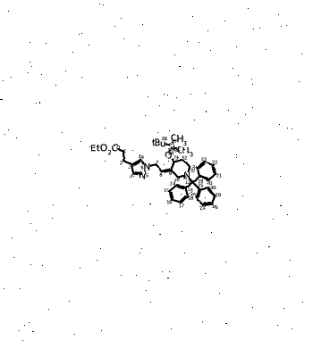 CCOC(=O)CCc1cnn(CC=C2CN(C(c3ccccc3)(c3ccccc3)c3ccccc3)CCC2O[Si](C)(C)C(C)(C)C)c1